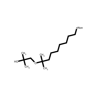 CCCCCCCCCCCCCCCCC(C)(C)OCC(C)(C)O